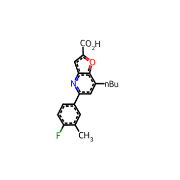 CCCCc1cc(-c2ccc(F)c(C)c2)nc2cc(C(=O)O)oc12